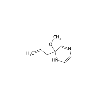 C=CCC1(OC)C=NC=CN1